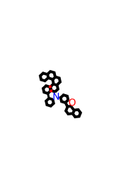 c1ccc(-c2ccccc2N(c2ccc3c(ccc4ccc5ccccc5c43)c2)c2ccc3oc4c5ccccc5ccc4c3c2)cc1